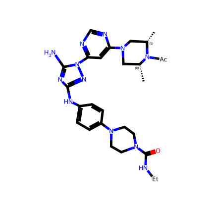 CCNC(=O)N1CCN(c2ccc(Nc3nc(N)n(-c4cc(N5C[C@@H](C)N(C(C)=O)[C@@H](C)C5)ncn4)n3)cc2)CC1